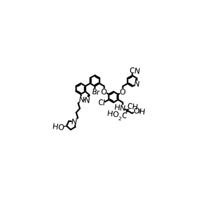 CC(CO)(NCc1cc(Cl)c(OCc2cccc(-c3cccc4c3cnn4CCCCN3CC[C@@H](O)C3)c2Br)cc1OCc1cncc(C#N)c1)C(=O)O